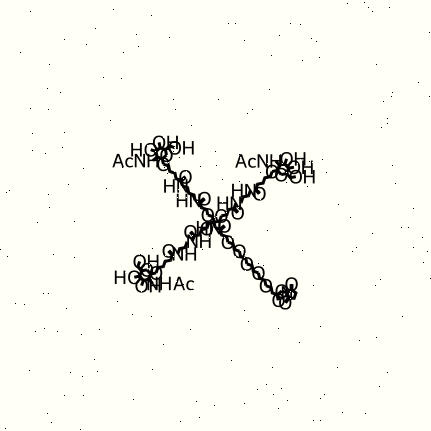 CC(=O)NC1C(OCCCCC(=O)NCCCNC(=O)CCOCC(COCCC(=O)NCCCNC(=O)CCCCOC2OC(CO)C(O)C(O)C2NC(C)=O)(COCCC(=O)NCCCNC(=O)CCCCOC2OC(CO)C(O)C(O)C2NC(C)=O)NC(=O)CCOCCOCCOCCOCCOCCC(=O)ON2C(=O)CCC2=O)OC(CO)C(O)C1O